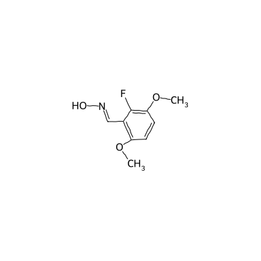 COc1ccc(OC)c(C=NO)c1F